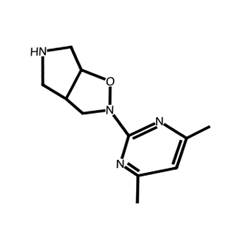 Cc1cc(C)nc(N2CC3CNCC3O2)n1